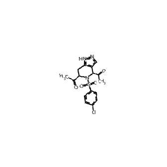 CC(=O)C1Cc2[nH]ncc2C(C(C)=O)N1S(=O)(=O)c1ccc(Cl)cc1